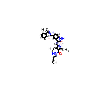 C#CCCNC(=O)c1c(C)[nH]c(/C=C2\C(=O)Nc3ccc(C(=O)N[C@H](C)c4ccccc4)cc32)c1C